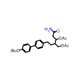 CC(=O)OCC(CCc1ccc(-c2ccc(OCC(C)C)cc2)cc1)C(CC(N)=O)OC(C)=O